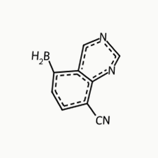 Bc1ccc(C#N)c2ncncc12